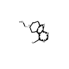 OC[C@@H]1CCc2sc3ncnc(Cl)c3c2C1